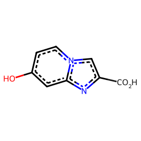 O=C(O)c1cn2ccc(O)cc2n1